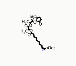 CCCCCCCC/C=C\CCCCCCCC(=O)O[C@@H](C)C(=O)O[C@@H](C)C(=O)ON1C(=O)CCC1O